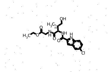 CCOC(=O)CNC(=O)C(NC(=O)c1cc2cc(Cl)ccc2[nH]1)[C@H](C)CO